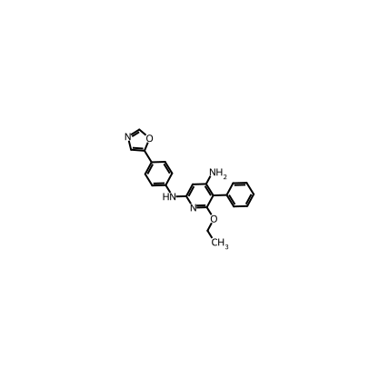 CCOc1nc(Nc2ccc(-c3cnco3)cc2)cc(N)c1-c1ccccc1